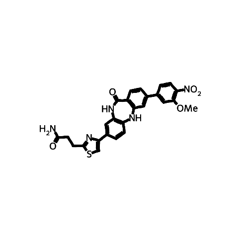 COc1cc(-c2ccc3c(c2)Nc2ccc(-c4csc(CCC(N)=O)n4)cc2NC3=O)ccc1[N+](=O)[O-]